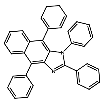 C1=CC(c2c3ccccc3c(-c3ccccc3)c3nc(-c4ccccc4)n(-c4ccccc4)c23)=CCC1